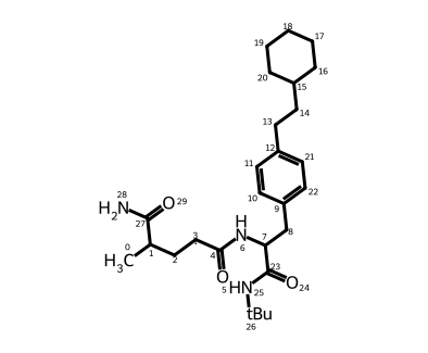 CC(C[CH]C(=O)NC(Cc1ccc(CCC2CCCCC2)cc1)C(=O)NC(C)(C)C)C(N)=O